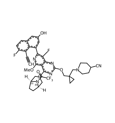 C#Cc1c(F)ccc2cc(O)cc(-c3nc(OC)c4c(N5C[C@H]6CC[C@@H](C5)N6C(=O)C(F)(F)F)nc(OCC5(CN6CCC(C#N)CC6)CC5)nc4c3F)c12